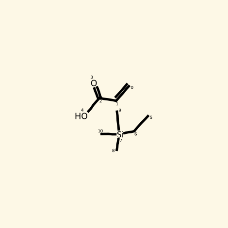 C=CC(=O)O.CC[Si](C)(C)C